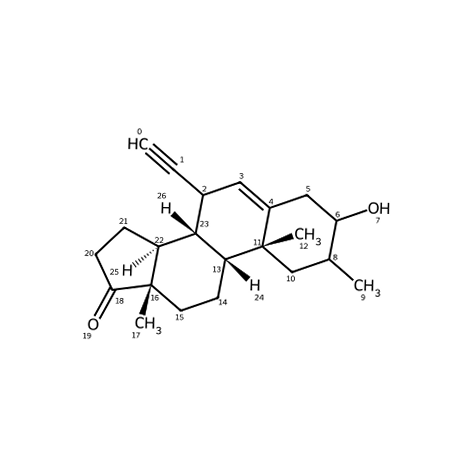 C#CC1C=C2CC(O)C(C)C[C@]2(C)[C@@H]2CC[C@]3(C)C(=O)CC[C@H]3[C@H]12